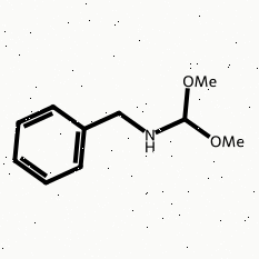 COC(NCc1ccccc1)OC